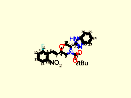 CC(C)(C)OC(=O)N1C[C@@H](C=Cc2c(F)cccc2[N+](=O)[O-])OC[C@H]1c1nc2ccccc2[nH]1